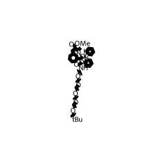 COC(=O)c1cc2c(nc1C)C(C(OC(=O)NCCOCCOCCOCCOCCOCCC(C)(C)C)O[SiH](c1ccccc1)c1ccccc1)CCCC2